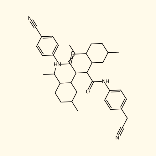 CC1CCC(C(C)C)C(C(C(=O)Nc2ccc(C#N)cc2)C(C(=O)Nc2ccc(CC#N)cc2)C2CC(C)CCC2C(C)C)C1